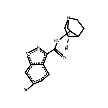 O=C(N[C@H]1CN2CCC1CC2)c1nsc2cc(Br)ccc12